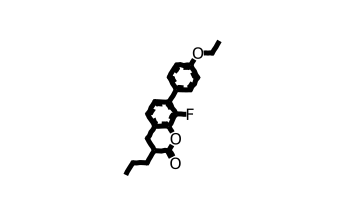 CCCC1Cc2ccc(-c3ccc(OCC)cc3)c(F)c2OC1=O